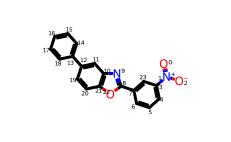 O=[N+]([O-])c1cccc(-c2nc3cc(-c4ccccc4)ccc3o2)c1